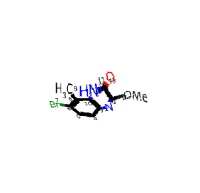 COc1nc2ccc(Br)c(C)c2[nH]c1=O